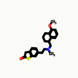 COc1cccc2c1CCCC2CN(C)CCc1ccc2c(c1)SC(=O)C2